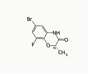 C[C@@H]1Oc2c(F)cc(Br)cc2NC1=O